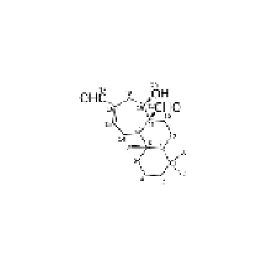 CC1(C)CCC[C@@]2(C)C1CC[C@]1(C=O)C2CC=C(C=O)C[C@H]1O